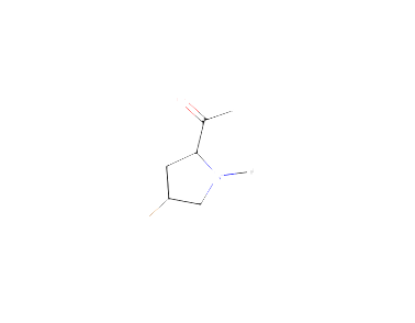 CCC(=O)C1CC(S)CN1C(C)C